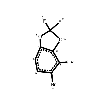 FC1(F)Oc2ccc(Br)c(I)c2O1